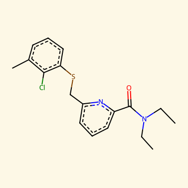 CCN(CC)C(=O)c1cccc(CSc2cccc(C)c2Cl)n1